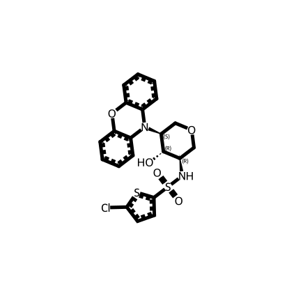 O=S(=O)(N[C@@H]1COC[C@H](N2c3ccccc3Oc3ccccc32)[C@H]1O)c1ccc(Cl)s1